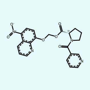 O=C(OCOc1ccc([N+](=O)[O-])c2cccnc12)[C@@H]1CCCN1C(=O)c1cccnc1